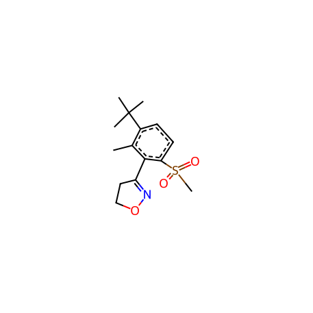 Cc1c(C(C)(C)C)ccc(S(C)(=O)=O)c1C1=NOCC1